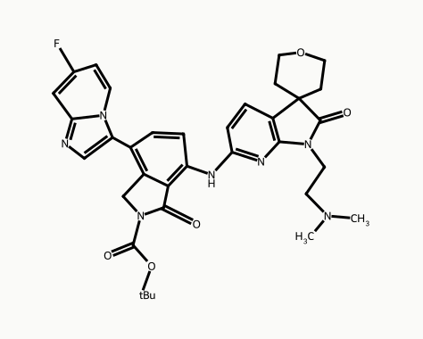 CN(C)CCN1C(=O)C2(CCOCC2)c2ccc(Nc3ccc(-c4cnc5cc(F)ccn45)c4c3C(=O)N(C(=O)OC(C)(C)C)C4)nc21